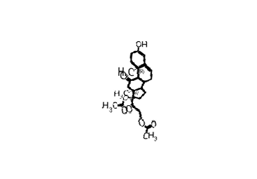 CC(=O)OCC(=O)[C@@]1(OC(C)=O)CCC2C3CC=C4C=C(O)CC[C@]4(C)C3C(=O)C[C@@]21C